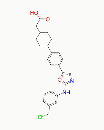 O=C(O)CC1CCC(c2ccc(-c3cnc(Nc4cccc(CCl)c4)o3)cc2)CC1